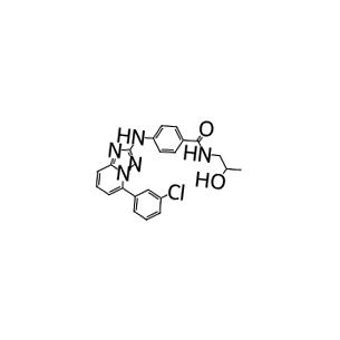 CC(O)CNC(=O)c1ccc(Nc2nc3cccc(-c4cccc(Cl)c4)n3n2)cc1